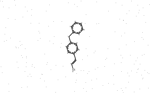 CCC=Cc1ccc(Cc2ccccc2)cc1